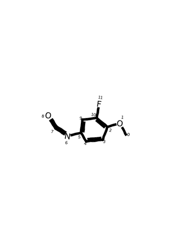 COc1ccc(N=C=O)cc1F